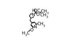 CCOc1cc(CC2CCN(C(=O)OC(C)(C)C)C2)cc(C)n1